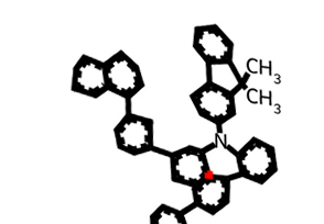 CC1(C)c2ccccc2-c2ccc(N(c3cccc(-c4cccc(-c5cccc6ccccc56)c4)c3)c3ccccc3-c3ccc(-c4ccccc4)cc3)cc21